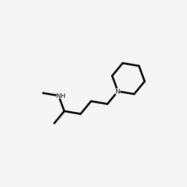 CNC(C)CCCN1CCCCC1